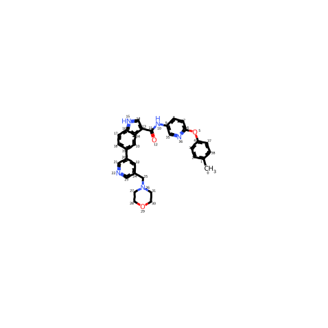 Cc1ccc(Oc2ccc(NC(=O)c3c[nH]c4ccc(-c5cncc(CN6CCOCC6)c5)cc34)cn2)cc1